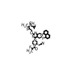 C=C(F)C(=O)N1CCN(c2nc(OCC3S[C@]3(C)N(C)C3CC3)nc3c2CCN(c2cccc4cccc(F)c24)C3)C[C@@H]1CC#N